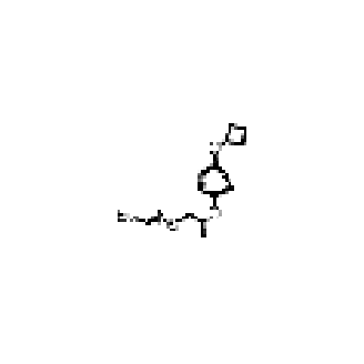 CCC=NOCC(C)Oc1ccc(OC2CCC2)cc1